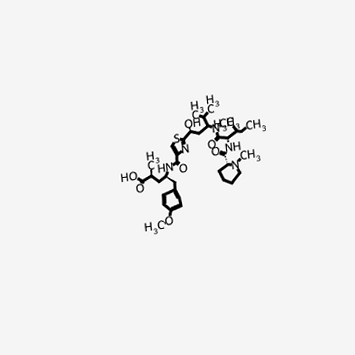 CCC(C)[C@H](NC(=O)[C@H]1CCCCN1C)C(=O)N(C)C(C[C@@H](O)c1nc(C(=O)N[C@@H](Cc2ccc(OC)cc2)C[C@H](C)C(=O)O)cs1)C(C)C